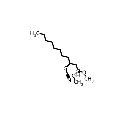 CCCCCCCCC(C[SiH](OC)OC)SC#N